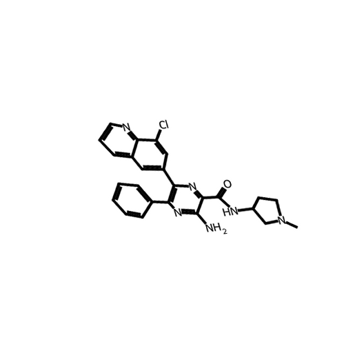 CN1CCC(NC(=O)c2nc(-c3cc(Cl)c4ncccc4c3)c(-c3ccccc3)nc2N)C1